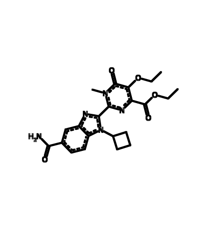 CCOC(=O)c1nc(-c2nc3cc(C(N)=O)ccc3n2C2CCC2)n(C)c(=O)c1OCC